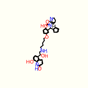 O=C(O)N(C(c1ccccc1)c1cccc(OCCCCCNC[C@H](O)c2ccc(O)c3[nH]c(=O)ccc23)c1)[C@H]1CN2CCC1CC2